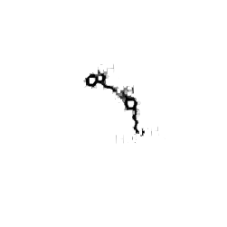 CN(C)CCCOc1ccc(S(=O)(=O)NCCCc2cn(C)c3ccccc23)cc1